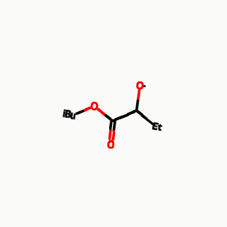 CCC(C)OC(=O)C([O])CC